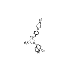 C[C@H]1C[C@@H](NCc2ccc(N3CCNCC3)cc2)CN(c2ccc(C#N)n3nccc23)C1